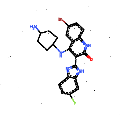 NC1CCC(Nc2c(-c3nc4ccc(F)cc4[nH]3)c(=O)[nH]c3ccc(Br)cc23)CC1